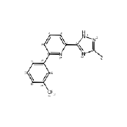 Cc1n[nH]c(-c2cccc(-c3cccc(C(F)(F)F)c3)n2)n1